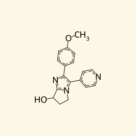 COc1ccc(-c2nc3n(c2-c2ccncc2)CCC3O)cc1